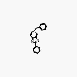 c1ccc(Cn2ccc3nc(-c4ccccc4)nc-3c2)cc1